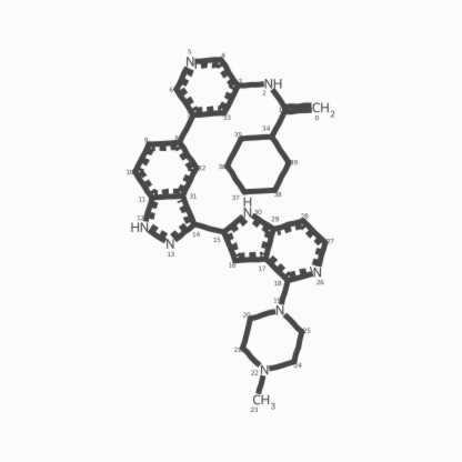 C=C(Nc1cncc(-c2ccc3[nH]nc(-c4cc5c(N6CCN(C)CC6)nccc5[nH]4)c3c2)c1)C1CCCCC1